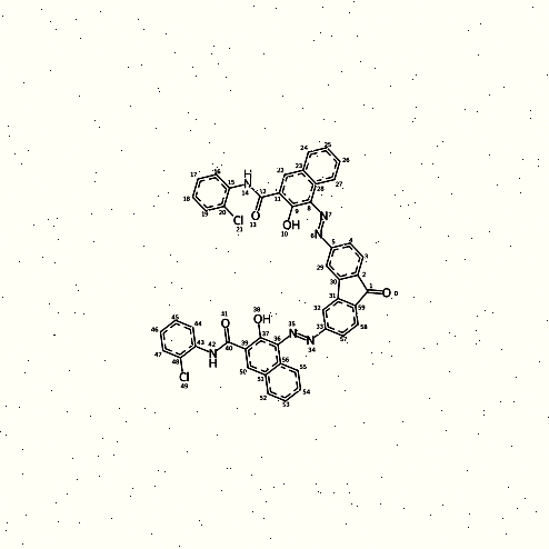 O=C1c2ccc(N=Nc3c(O)c(C(=O)Nc4ccccc4Cl)cc4ccccc34)cc2-c2cc(N=Nc3c(O)c(C(=O)Nc4ccccc4Cl)cc4ccccc34)ccc21